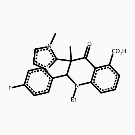 CCN1c2cccc(C(=O)O)c2C(=O)C(C)(c2nccn2C)C1c1ccc(F)cc1